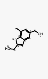 Cc1cc(CO)cc2cc(CO)oc12